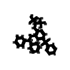 CC(C)(c1ccccc1)c1ccc(CP(C(C)(C)C)C(C)(C)C)c(CP(c2cnccn2)c2cnccn2)c1